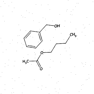 CCCCOC(C)=O.OCc1ccccc1